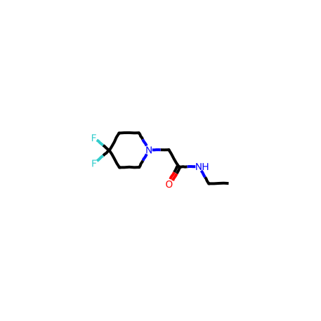 CCNC(=O)CN1CCC(F)(F)CC1